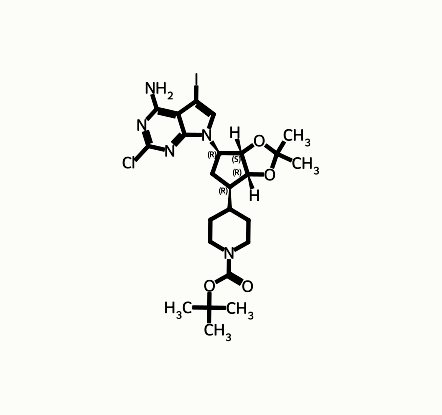 CC(C)(C)OC(=O)N1CCC([C@H]2C[C@@H](n3cc(I)c4c(N)nc(Cl)nc43)[C@@H]3OC(C)(C)O[C@@H]32)CC1